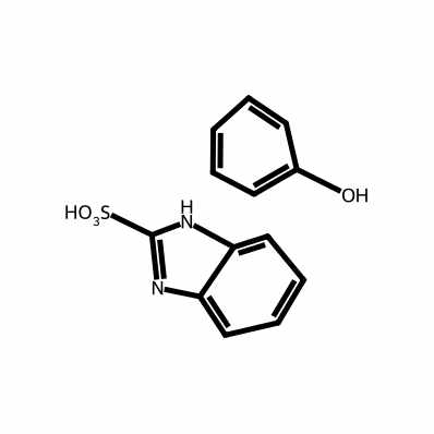 O=S(=O)(O)c1nc2ccccc2[nH]1.Oc1ccccc1